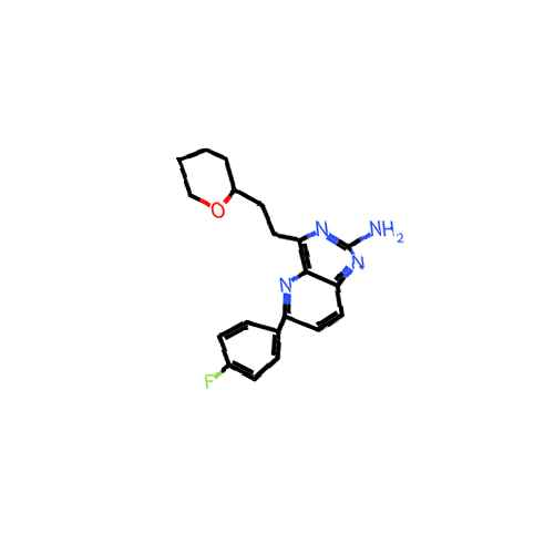 Nc1nc(CCC2CCCCO2)c2nc(-c3ccc(F)cc3)ccc2n1